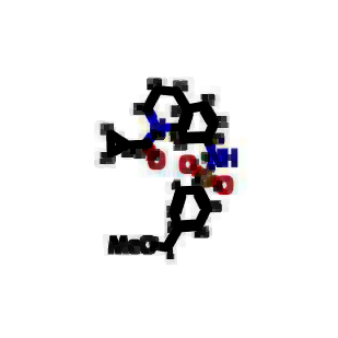 COCc1ccc(S(=O)(=O)Nc2ccc3c(c2)N(C(=O)C2CC2)CCC3)cc1